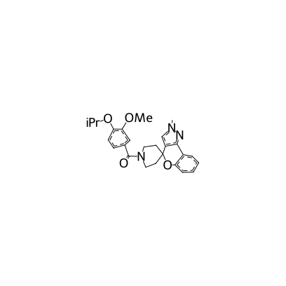 COc1cc(C(=O)N2CCC3(CC2)Oc2ccccc2-c2nn(C)cc23)ccc1OC(C)C